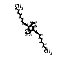 CCCCCCCCC#Cc1c2c[c]sc2c(C#CCCCCCCCC)c2c[c]sc12